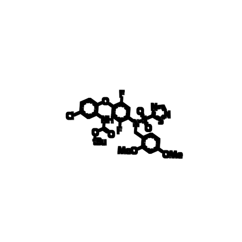 COc1ccc(CN(c2cc(F)c(Oc3ccc(Cl)cc3NC(=O)OC(C)(C)C)cc2F)S(=O)(=O)c2ncns2)c(OC)c1